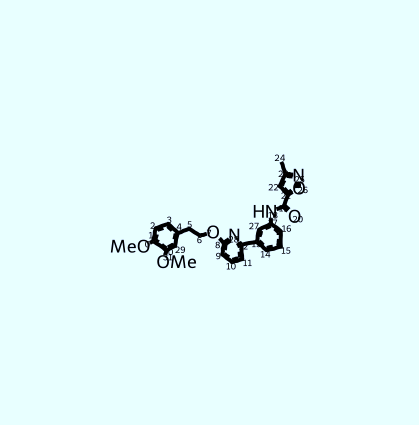 COc1ccc(CCOc2cccc(-c3cccc(NC(=O)c4cc(C)no4)c3)n2)cc1OC